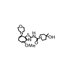 COC1=CCC=C(N2CCOCC2)c2sc(NC(=O)N3CCC(C)(O)CC3)nc21